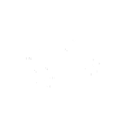 CC(C)(O)C1=NC2=C(C3CCN(C(=O)c4ccc(S(F)(F)(F)(F)F)cc4)CC3)C=CNC2N1